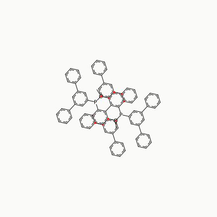 COc1cccc(P(c2cc(-c3ccccc3)cc(-c3ccccc3)c2)c2cc(-c3ccccc3)cc(-c3ccccc3)c2)c1-c1c(OC)cccc1P(c1cc(-c2ccccc2)cc(-c2ccccc2)c1)c1cc(-c2ccccc2)cc(-c2ccccc2)c1